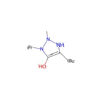 CC(C)N1C(O)=C(C(C)(C)C)NN1C